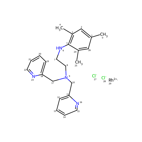 Cc1cc(C)c(NCCN(Cc2ccccn2)Cc2ccccn2)c(C)c1.[Cl-].[Cl-].[Rh+2]